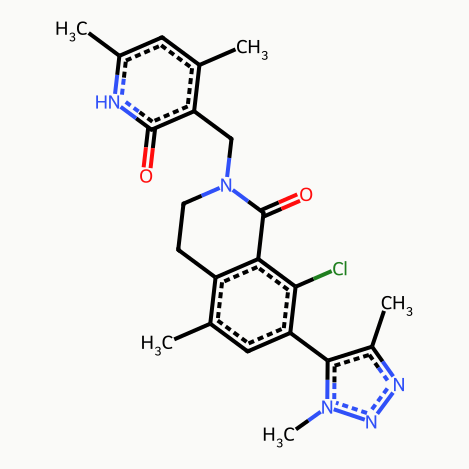 Cc1cc(C)c(CN2CCc3c(C)cc(-c4c(C)nnn4C)c(Cl)c3C2=O)c(=O)[nH]1